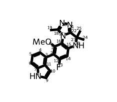 COc1c(-c2cccc3[nH]ccc23)c(F)cc2c1-n1c(C)nnc1C(C)(C)N2